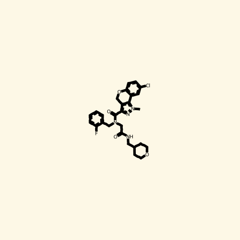 Cn1nc(C(=O)N(CC(=O)NCC2CCOCC2)Cc2ccccc2F)c2c1-c1cc(Cl)ccc1OC2